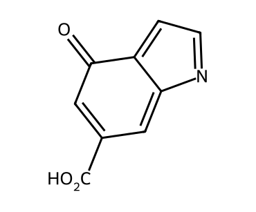 O=C(O)C1=CC(=O)C2=CC=NC2=C1